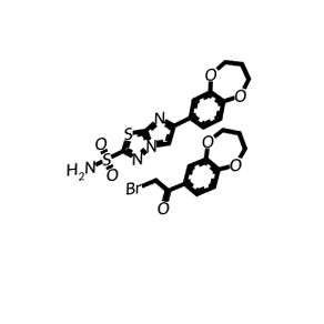 NS(=O)(=O)c1nn2cc(-c3ccc4c(c3)OCCCO4)nc2s1.O=C(CBr)c1ccc2c(c1)OCCCO2